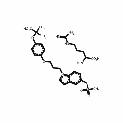 CC(C)(Oc1ccc(OCCCn2ccc3cc(OS(C)(=O)=O)ccc32)cc1)C(=O)O.N=C(N)NCCCC(N)C(=O)O